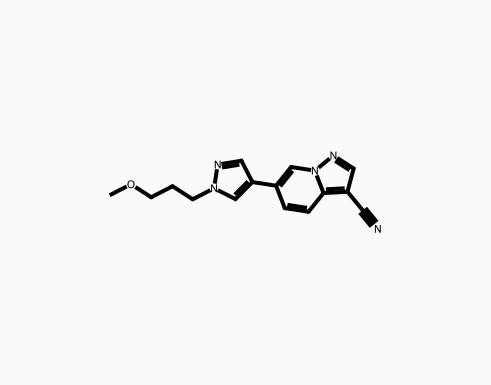 COCCCn1cc(-c2ccc3c(C#N)cnn3c2)cn1